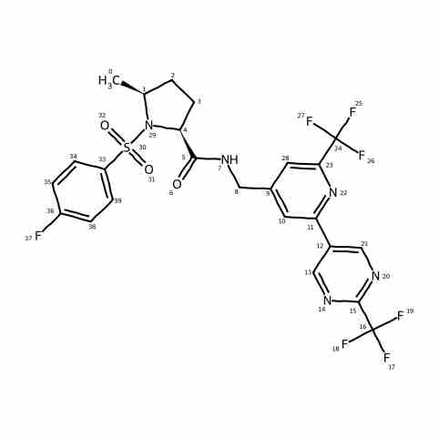 C[C@H]1CC[C@@H](C(=O)NCc2cc(-c3cnc(C(F)(F)F)nc3)nc(C(F)(F)F)c2)N1S(=O)(=O)c1ccc(F)cc1